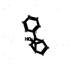 OC1C2C=CC1C(c1ccccc1)C2